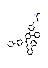 C/C=C\C=C/Cc1ccc(-c2ccc(N(c3ccc(C(/C=C\C)=C/C)cc3)c3cc4ccccc4c4ccccc34)cc2-c2ccccc2)cc1